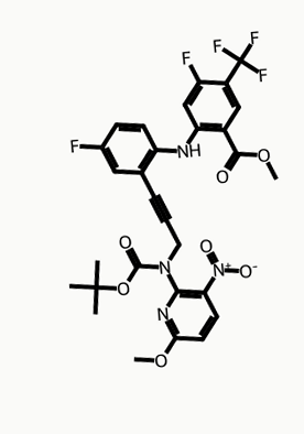 COC(=O)c1cc(C(F)(F)F)c(F)cc1Nc1ccc(F)cc1C#CCN(C(=O)OC(C)(C)C)c1nc(OC)ccc1[N+](=O)[O-]